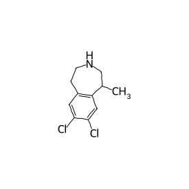 CC1CNCCc2cc(Cl)c(Cl)cc21